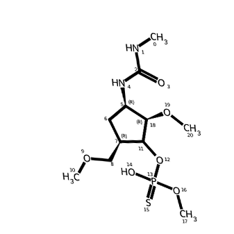 CNC(=O)N[C@@H]1C[C@H](COC)C(OP(O)(=S)OC)[C@@H]1OC